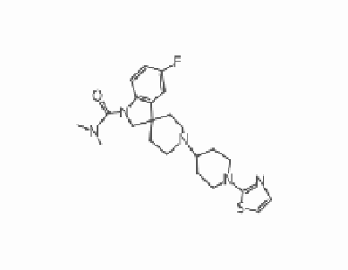 CN(C)C(=O)N1CC2(CCN(C3CCN(c4nccs4)CC3)CC2)c2cc(F)ccc21